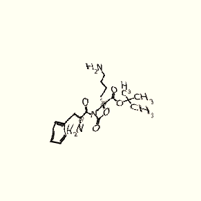 CC(C)(C)OC(=O)[C@@]1(CCCCN)OC(=O)N1C(=O)[C@@H](N)Cc1ccccc1